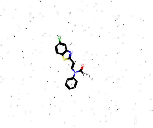 CC(=O)N(C=Cc1nc2cc(Cl)ccc2s1)c1ccccc1